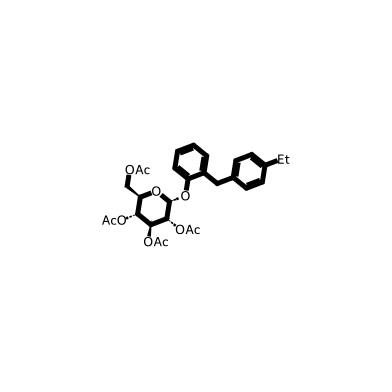 CCc1ccc(Cc2ccccc2O[C@H]2O[C@H](COC(C)=O)[C@@H](OC(C)=O)[C@H](OC(C)=O)[C@H]2OC(C)=O)cc1